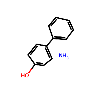 N.Oc1ccc(-c2ccccc2)cc1